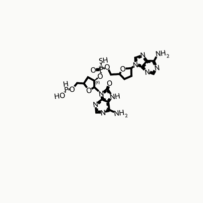 Nc1ncnc2c1ncn2C1CCC(CO[P@@](=O)(S)O[C@@H]2CC(COPO)OC2n2c(=O)[nH]c3c(N)ncnc32)O1